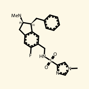 CN[C@@H]1Cc2cc(F)c(CNS(=O)(=O)c3cn(C)cn3)cc2[C@@H]1Cc1ccccc1